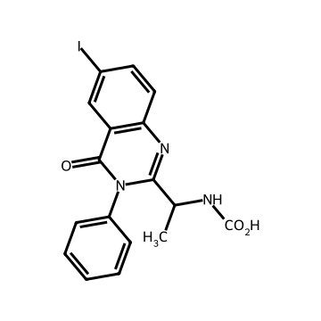 CC(NC(=O)O)c1nc2ccc(I)cc2c(=O)n1-c1ccccc1